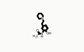 CC(=O)Nc1cc(CCN2CCCCC2)ccc1O